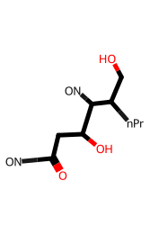 CCCC(CO)C(N=O)C(O)CC(=O)N=O